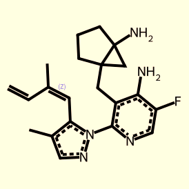 C=C/C(C)=C\c1c(C)cnn1-c1ncc(F)c(N)c1CC12CCCC1(N)C2